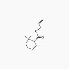 C=CCOC(=O)[C@H]1[C@H](C)CCCC1(C)C